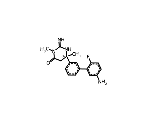 CN1C(=N)N[C@](C)(c2cccc(-c3cc(N)ccc3F)c2)CC1=O